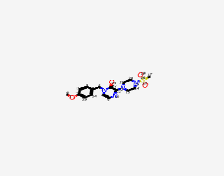 COc1ccc(Cn2ccnc(N3CCN(S(C)(=O)=O)CC3)c2=O)cc1